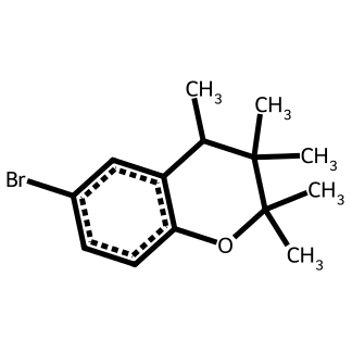 CC1c2cc(Br)ccc2OC(C)(C)C1(C)C